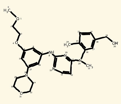 COCCOc1cc(Nc2nccc(N(C)c3cc(CO)ccc3C)n2)cc(N2CCOCC2)c1